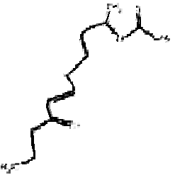 CCCC(=O)/C=C/CCCC(C)OC(C)=O